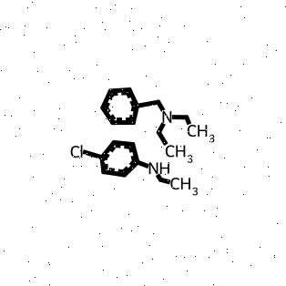 CCN(CC)Cc1ccccc1.CCNc1ccc(Cl)cc1